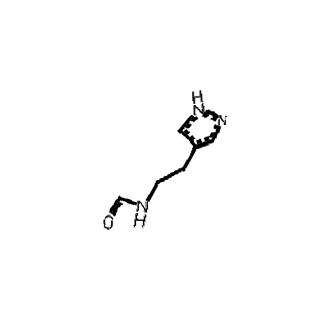 O=CNCCc1cn[nH]c1